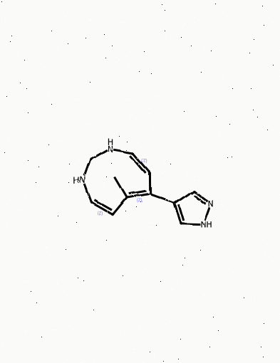 CC1=C(c2cn[nH]c2)\C=C/NCN/C=C\1